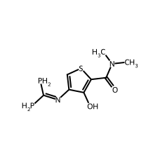 CN(C)C(=O)c1scc(N=C(P)P)c1O